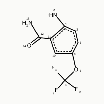 [NH]c1ccc(OC(F)(F)F)cc1C(N)=O